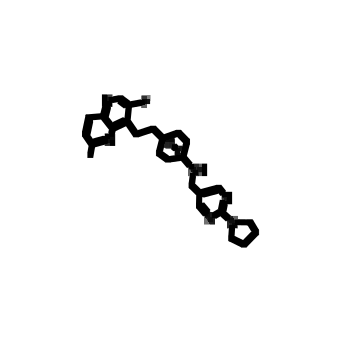 Cc1ccc2ncc(F)c(CCC34CCC(NCc5cnc(N6CCCC6)nc5)(CC3)CO4)c2n1